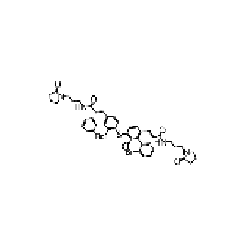 O=C(/C=C/c1ccc(Sc2ccc(/C=C/C(=O)NCCCN3CCCC3=O)c(-c3ccccc3Br)c2Cl)c(Cl)c1-c1ccccc1Br)NCCCN1CCCC1=O